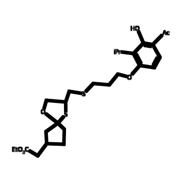 CCOC(=O)CC1CCC2(C1)OCC(CSCCCOc1ccc(C(C)=O)c(O)c1C(C)C)S2